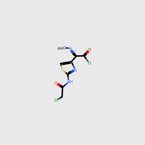 CO/N=C(/C(=O)Cl)c1csc(NC(=O)CCl)n1